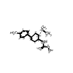 Cc1ccc(C2=CCC(NC(=O)OC(C)(C)C)[C@@H](N(C)C)C2)cc1